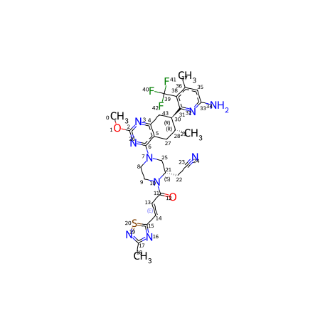 COc1nc2c(c(N3CCN(C(=O)/C=C/c4nc(C)ns4)[C@@H](CC#N)C3)n1)C[C@@H](C)[C@H](c1nc(N)cc(C)c1C(F)(F)F)C2